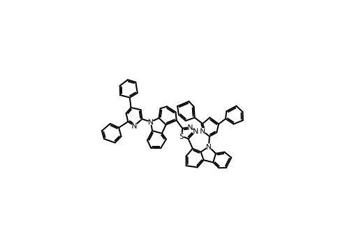 c1ccc(-c2cc(-c3ccccc3)nc(-n3c4ccccc4c4c(-c5nnc(-c6cccc7c8ccccc8n(-c8cc(-c9ccccc9)cc(-c9ccccc9)n8)c67)s5)cccc43)c2)cc1